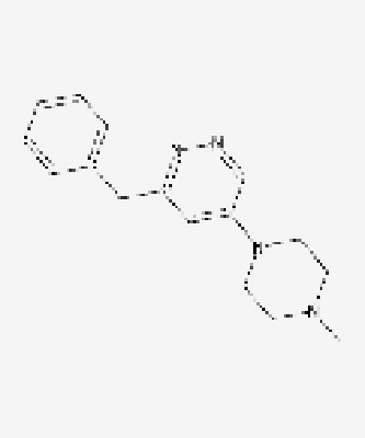 CN1CCN(c2cnnc(Cc3ccccc3)c2)CC1